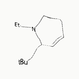 CCN1CCC=CC1C(C)(C)C